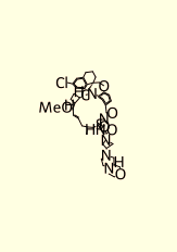 CO[C@H]1/C=C/C[C@H](C)C[S@@](=O)(NC(=O)N2CC(N3CCN4CCOC[C@@H]4C3)C2)=NC(=O)c2ccc3c(c2)N(C[C@@H]2CC[C@H]21)C[C@@]1(CCCc2cc(Cl)ccc21)CO3